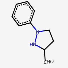 O=CC1CCN(c2ccccc2)N1